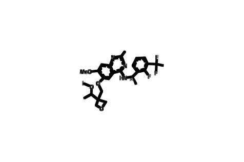 COc1cc2nc(C)nc(N[C@H](C)c3cccc(C(C)(F)F)c3F)c2cc1OCC1(C(C)OI)COC1